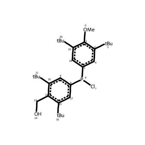 COc1c(C(C)(C)C)cc(P(Cl)c2cc(C(C)(C)C)c(CO)c(C(C)(C)C)c2)cc1C(C)(C)C